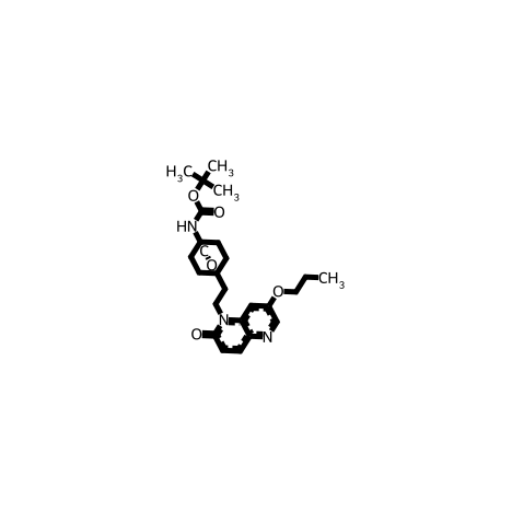 CCCOc1cnc2ccc(=O)n(CCC34CCC(NC(=O)OC(C)(C)C)(CC3)CO4)c2c1